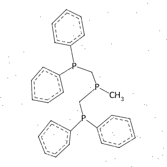 CP(CP(c1ccccc1)c1ccccc1)CP(c1ccccc1)c1ccccc1